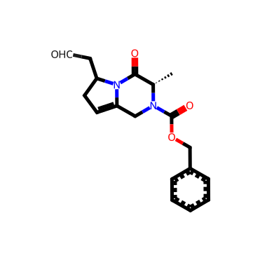 C[C@H]1C(=O)N2C(=CCC2CC=O)CN1C(=O)OCc1ccccc1